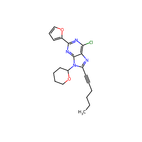 CCCCC#Cc1nc2c(Cl)nc(-c3ccco3)nc2n1C1CCCCO1